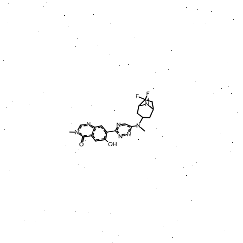 CN(c1cnc(-c2cc3ncn(C)c(=O)c3cc2O)nn1)C1CC2CC(F)(F)C(C1)N2